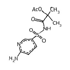 CC(=O)OC(C)(C)C(=O)NS(=O)(=O)c1ccc(N)nc1